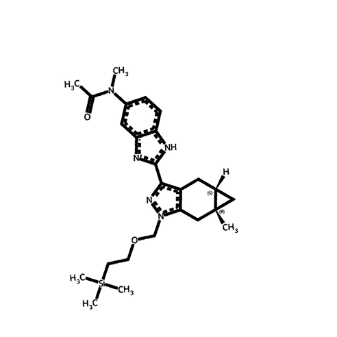 CC(=O)N(C)c1ccc2[nH]c(-c3nn(COCC[Si](C)(C)C)c4c3C[C@@H]3C[C@]3(C)C4)nc2c1